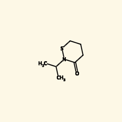 CC(C)N1SCCCC1=O